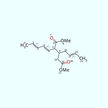 C/C=C/C=C/C(C(=O)OC)C(C/C=C/C)CC(=O)OC